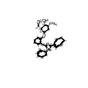 CO[C@@H]1CC(Oc2ccccc2-c2nc(-c3ccccc3)nn2-c2ccccc2)O[C@H](CO)[C@@H]1O